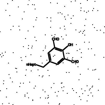 CCCCCCCCc1cc(C=O)c(O)c(C=O)c1